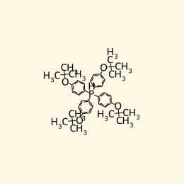 CC(C)(C)Oc1ccc([PH](c2ccc(OC(C)(C)C)cc2)(c2ccc(OC(C)(C)C)cc2)c2ccc(OC(C)(C)C)cc2)cc1